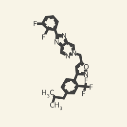 CC(C)Cc1ccc(-c2cc(Cn3cc4nc(-c5cccc(F)c5F)nc-4cn3)on2)c(C(F)(F)F)c1